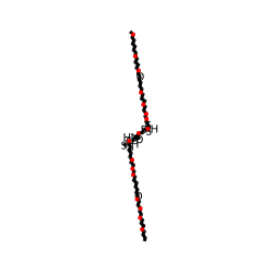 CCCCCCCCCCCCCCCOCCCCCCCCCCCCCCCS[PH](=S)SCCC(=O)NCS[PH](=S)SCCCCCCCCCCCCCCCOCCCCCCCCCCCCCCC